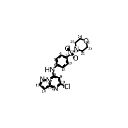 O=S(=O)(c1ccc(Nc2cc(Cl)nc3ccnn23)cc1)N1CCOCC1